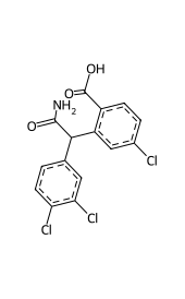 NC(=O)C(c1ccc(Cl)c(Cl)c1)c1cc(Cl)ccc1C(=O)O